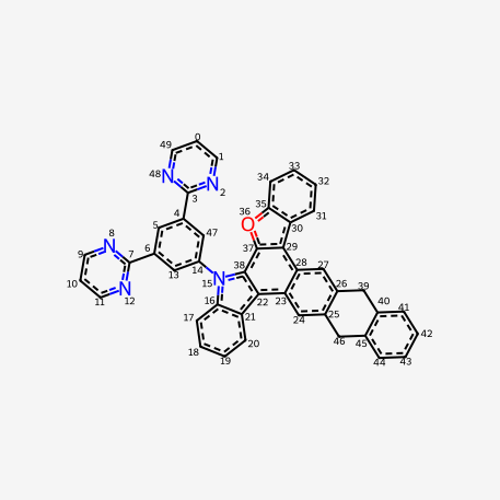 c1cnc(-c2cc(-c3ncccn3)cc(-n3c4ccccc4c4c5cc6c(cc5c5c7ccccc7oc5c43)Cc3ccccc3C6)c2)nc1